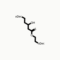 CCCCCCCCCCCCOC(=S)CC(O)CCCCCCCCCCCC